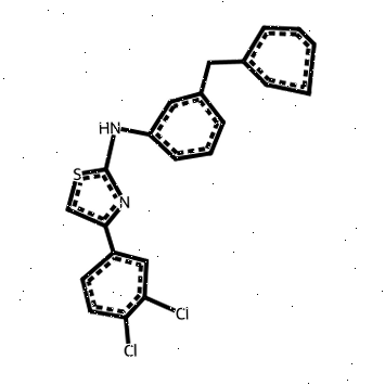 Clc1ccc(-c2csc(Nc3cccc(Cc4ccccc4)c3)n2)cc1Cl